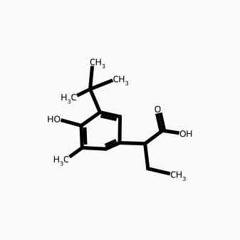 CCC(C(=O)O)c1cc(C)c(O)c(C(C)(C)C)c1